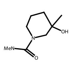 CNC(=O)N1CCCC(C)(O)C1